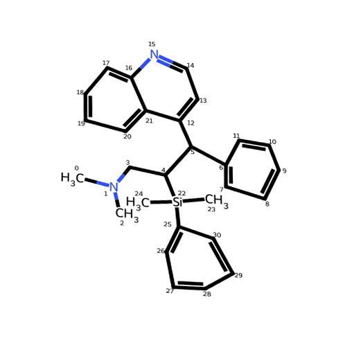 CN(C)CC(C(c1ccccc1)c1ccnc2ccccc12)[Si](C)(C)c1ccccc1